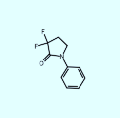 O=C1N(c2ccccc2)CCC1(F)F